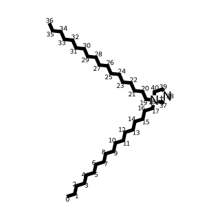 CCCCCCCCCCCCCCCCCC[N+]1(CCCCCCCCCCCCCCCCCC)C=NCC1